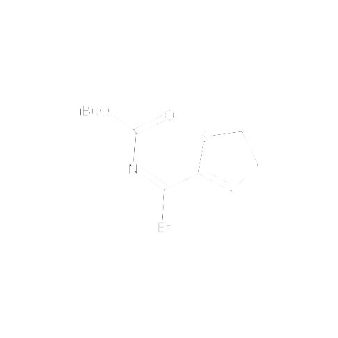 CC/C(=N/C(=O)OCC(C)C)C1=CCCS1